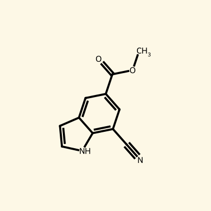 COC(=O)c1cc(C#N)c2[nH]ccc2c1